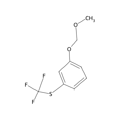 COCOc1cc[c]c(SC(F)(F)F)c1